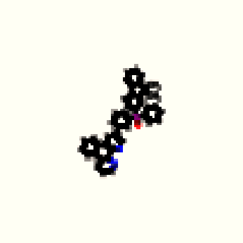 CC1(C)c2ccccc2-c2ccc(P(=O)(c3ccccc3)c3cccc(-c4cnc5c(c4)c4ccccc4c4cccnc45)c3)cc21